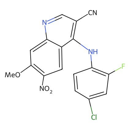 COc1cc2ncc(C#N)c(Nc3ccc(Cl)cc3F)c2cc1[N+](=O)[O-]